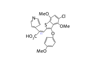 COc1ccc(Oc2c(/C=C(/C(=O)O)c3ccncc3)sc3c(OC)cc(Cl)c(OC)c23)cc1